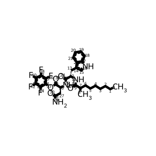 CCCCCCCC(C)C(=O)N[C@@H](Cc1c[nH]c2ccccc12)C(=O)N[C@@H](CC(N)=O)C(=O)Oc1c(F)c(F)c(F)c(F)c1F